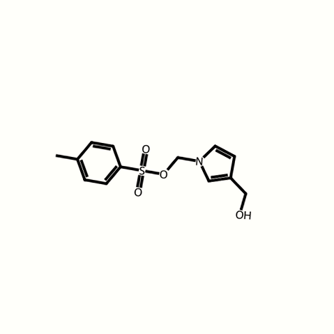 Cc1ccc(S(=O)(=O)OCn2ccc(CO)c2)cc1